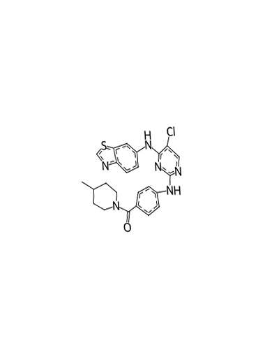 CC1CCN(C(=O)c2ccc(Nc3ncc(Cl)c(Nc4ccc5ncsc5c4)n3)cc2)CC1